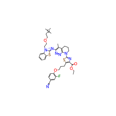 CCOC(=O)c1nc(N2CCCc3c2nnc(/N=c2\sc4ccccc4n2CCOCC[Si](C)(C)C)c3C)sc1CCCOc1ccc(C#N)cc1F